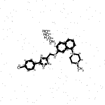 CN1CCN(c2cccc3ccc(OCc4noc(-c5ccc(Cl)cc5)n4)cc23)CC1.Cl.Cl.O.O